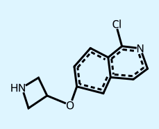 Clc1nccc2cc(OC3CNC3)ccc12